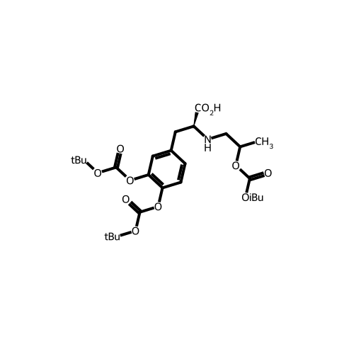 CC(C)COC(=O)OC(C)CN[C@@H](Cc1ccc(OC(=O)OC(C)(C)C)c(OC(=O)OC(C)(C)C)c1)C(=O)O